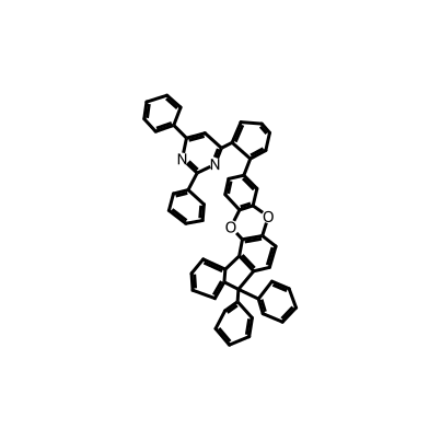 c1ccc(-c2cc(-c3ccccc3-c3ccc4c(c3)Oc3ccc5c(c3O4)-c3ccccc3C5(c3ccccc3)c3ccccc3)nc(-c3ccccc3)n2)cc1